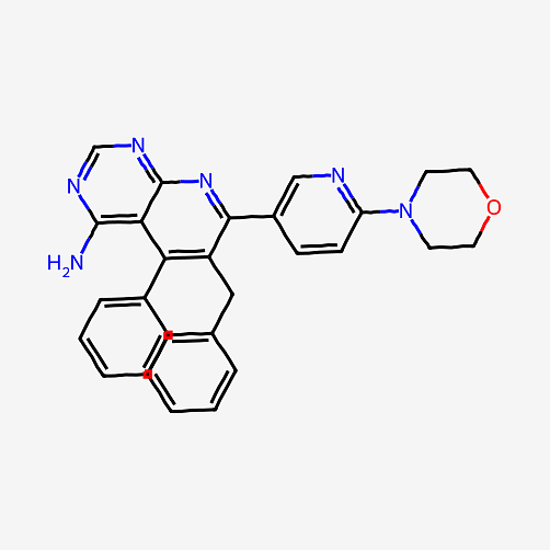 Nc1ncnc2nc(-c3ccc(N4CCOCC4)nc3)c(Cc3ccccc3)c(-c3ccccc3)c12